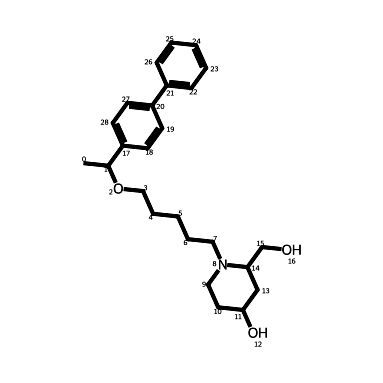 CC(OCCCCCN1CCC(O)CC1CO)c1ccc(-c2ccccc2)cc1